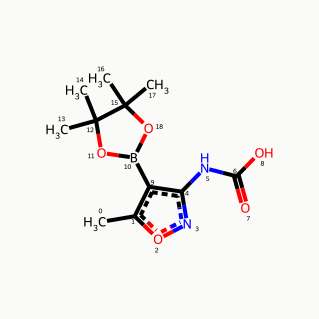 Cc1onc(NC(=O)O)c1B1OC(C)(C)C(C)(C)O1